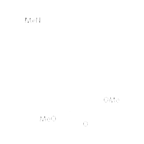 CNCCc1ccc(OC)c(C(=O)OC)c1